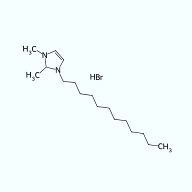 Br.CCCCCCCCCCCCN1C=CN(C)C1C